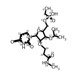 CCP(=O)(O)OCC1OC(n2ccc(=O)[nH]c2=O)C(OCCC(=O)NC)C1OC(C)C